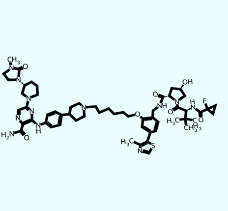 Cc1ncsc1-c1ccc(CNC(=O)[C@@H]2C[C@@H](O)CN2C(=O)[C@@H](NC(=O)C2(F)CC2)C(C)(C)C)c(OCCCCCCN2CCC(c3ccc(Nc4nc(N5CCC[C@@H](N6CCN(C)C6=O)C5)cnc4C(N)=O)cc3)CC2)c1